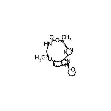 C[C@@H]1C=C2N=CC(=N2)c2nn(C3CCCCO3)c3ccc(cc23)O[C@H](C)CCNC(=O)O1